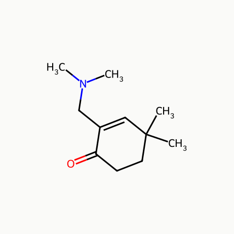 CN(C)CC1=CC(C)(C)CCC1=O